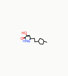 CC1CCC(CCc2cc(O)c(=O)[nH]n2)CC1